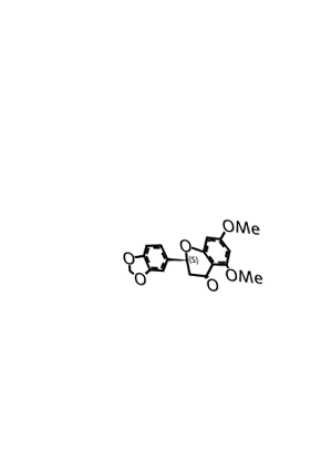 COc1cc(OC)c2c(c1)O[C@H](c1ccc3c(c1)OCO3)CC2=O